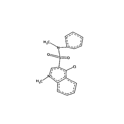 CN(c1ccccc1)S(=O)(=O)c1c[n+](C)c2ccccc2c1Cl